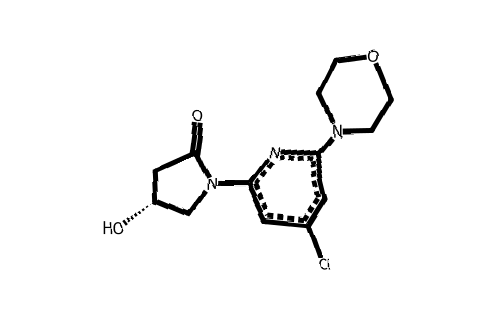 O=C1C[C@@H](O)CN1c1cc(Cl)cc(N2CCOCC2)n1